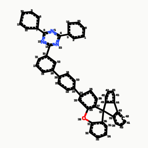 c1ccc(-c2nc(-c3ccccc3)nc(-c3cccc(-c4ccc(-c5ccc6c(c5)Oc5ccccc5C65c6ccccc6-c6ccccc65)cc4)c3)n2)cc1